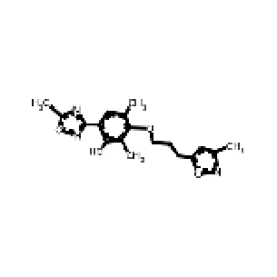 Cc1cc(CCCOc2c(C)cc(-c3noc(C)n3)c(O)c2C)on1